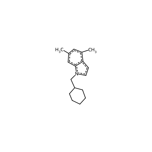 Cc1cc(C)c2ccn(CC3CCCCC3)c2c1